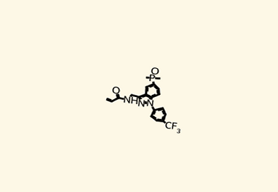 C=CC(=O)NCc1nn(-c2ccc(C(F)(F)F)cc2)c2ccc(P(C)(C)=O)cc12